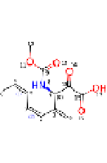 C=C(/C=C\C=C/C)[C@@H](NC(=O)OC)C(=O)C(=O)O